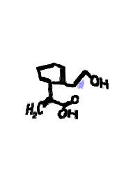 C=C(C(=O)O)c1ccccc1/C=C/O